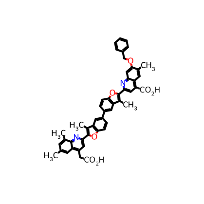 Cc1cc(C)c2nc(-c3oc4ccc(-c5ccc6oc(-c7cc(C(=O)O)c8cc(C)c(OCc9ccccc9)cc8n7)c(C)c6c5)cc4c3C)cc(CC(=O)O)c2c1